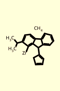 C.CC(C)c1ccc2c([c]1[Zr])C(C1=CC=CC1)c1ccccc1-2